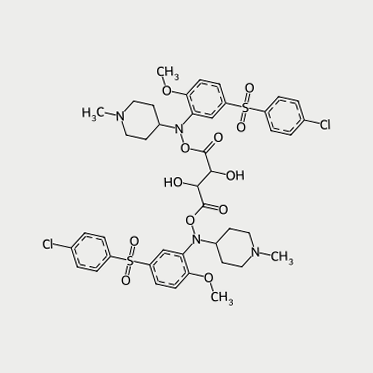 COc1ccc(S(=O)(=O)c2ccc(Cl)cc2)cc1N(OC(=O)C(O)C(O)C(=O)ON(c1cc(S(=O)(=O)c2ccc(Cl)cc2)ccc1OC)C1CCN(C)CC1)C1CCN(C)CC1